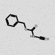 C#CNC(=O)OCc1ccccc1